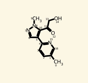 Cc1ccc(-c2cnn(C)c2C(=O)CO)nc1